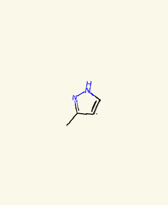 Cc1[c]c[nH]n1